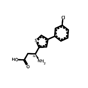 N[C@@H](CC(=O)O)c1cc(-c2cccc(Cl)c2)cs1